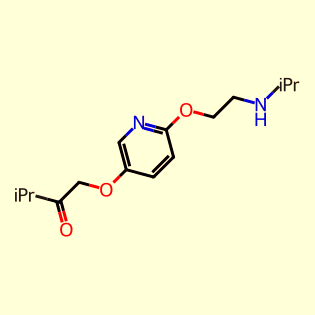 CC(C)NCCOc1ccc(OCC(=O)C(C)C)cn1